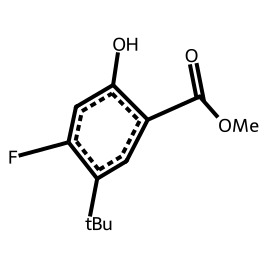 COC(=O)c1cc(C(C)(C)C)c(F)cc1O